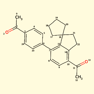 CC(=O)c1ccc(-c2ccc(C(C)=O)c3c2C2(CCCC2)CC3)cc1